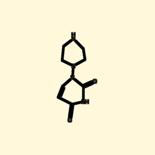 O=c1ccn(N2CCNCC2)c(=O)[nH]1